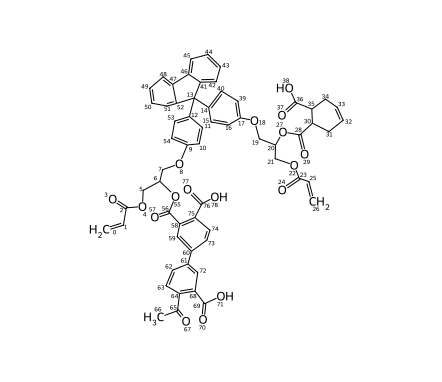 C=CC(=O)OCC(COc1ccc(C2(c3ccc(OCC(COC(=O)C=C)OC(=O)C4CC=CCC4C(=O)O)cc3)c3ccccc3-c3ccccc32)cc1)OC(=O)c1cc(-c2ccc(C(C)=O)c(C(=O)O)c2)ccc1C(=O)O